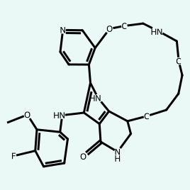 COc1c(F)cccc1Nc1c2[nH]c3c1C(=O)NCC3CCCCCCNCCOc1cnccc1-2